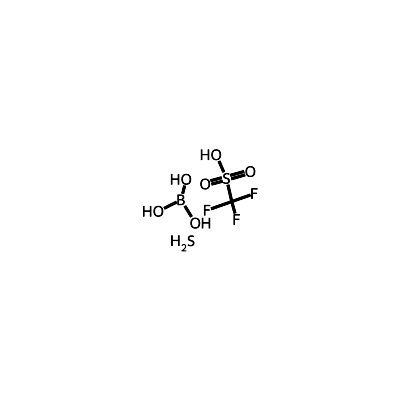 O=S(=O)(O)C(F)(F)F.OB(O)O.S